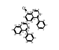 C=O.c1ccc(-c2ncnc3ccccc23)cc1.c1ccc(-c2ncnc3ccccc23)cc1